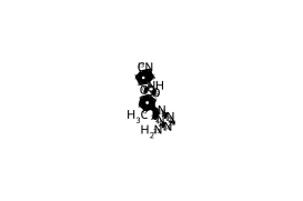 Cc1ccc(S(=O)(=O)NC23CCC(C#N)(CC2)C3)cc1-c1cn2c(N)ncnc2n1